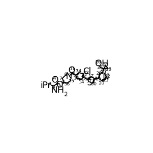 CC(C)C(N)C(=O)OC1CCN(C(=O)c2ccc(-c3cc(-c4ccnc(C5(CO)CC5)c4)cs3)c(Cl)c2)CC1